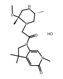 CO[C@]1(C)CN[C@H](C)CN1CC(=O)N1CC(C)(C)c2cc(=O)n(C)cc21.Cl